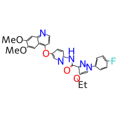 CCOc1cn(-c2ccc(F)cc2)nc1C(=O)Nc1ccc(Oc2ccnc3cc(OC)c(OC)cc23)cn1